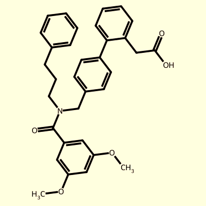 COc1cc(OC)cc(C(=O)N(CCCc2ccccc2)Cc2ccc(-c3ccccc3CC(=O)O)cc2)c1